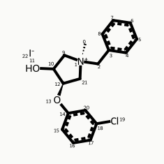 C[N@@+]1(Cc2ccccc2)CC(O)[C@H](Oc2cccc(Cl)c2)C1.[I-]